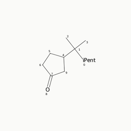 CCCC(C)C(C)(C)C1CCC(=O)C1